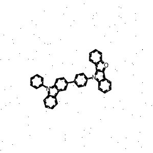 c1ccc(-n2c3ccccc3c3cc(-c4ccc(-n5c6ccccc6c6oc7ccccc7c65)cc4)ccc32)cc1